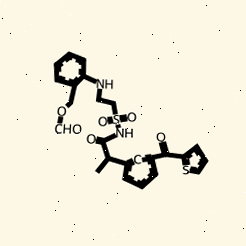 CC(C(=O)NS(=O)(=O)CCNc1ccccc1COC=O)c1cccc(C(=O)c2cccs2)c1